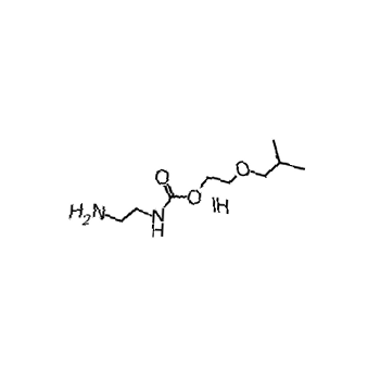 CC(C)COCCOC(=O)NCCN.I